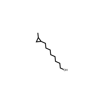 CC1CC1CCCCCCCCO